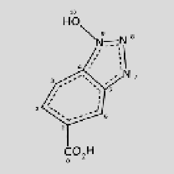 O=C(O)c1ccc2c(c1)nnn2O